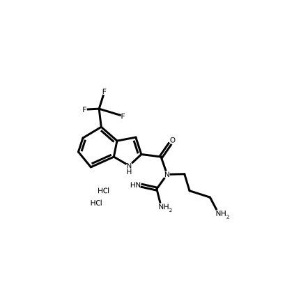 Cl.Cl.N=C(N)N(CCCN)C(=O)c1cc2c(C(F)(F)F)cccc2[nH]1